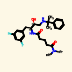 CCCN(CCC)C(=O)CCCC(=O)N[C@@H](Cc1cc(F)cc(F)c1)[C@H](O)CNC(C)(C)c1ccccc1